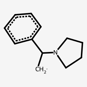 [CH2]C(c1ccccc1)N1CCCC1